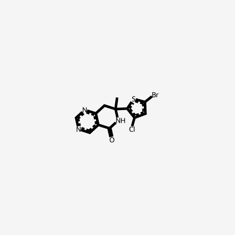 CC1(c2sc(Br)cc2Cl)Cc2ncncc2C(=O)N1